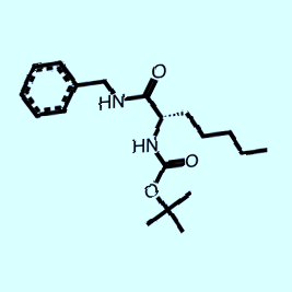 CCCCC[C@H](NC(=O)OC(C)(C)C)C(=O)NCc1ccccc1